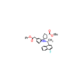 CC(C)OC(=O)Cc1cccc([C@@]2(N[C@H](C)c3ccc(F)c4ccccc34)CC[C@H](C(=O)OC(C)(C)C)C2)c1